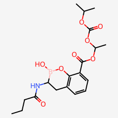 CCCC(=O)NC1Cc2cccc(C(=O)OC(C)OC(=O)OC(C)C)c2OB1O